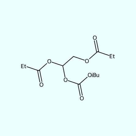 CCC(=O)OCC(OC(=O)CC)OC(=O)OCC(C)C